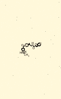 Cc1nc2cc(C(=O)N3CCC4(CC3)CC4CNC(=O)c3cc4ccncc4o3)ccc2[nH]1